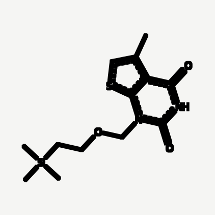 Cc1csc2c1c(=O)[nH]c(=O)n2COCC[Si](C)(C)C